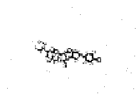 CCN(CC)C(=O)CC(C)(C)CN1C(=O)C2OC3C=C(c4ccc(Cl)cc4)C=C3N2C1=S